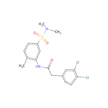 Cc1ccc(S(=O)(=O)N(C)C)cc1NC(=O)Cc1ccc(Cl)c(Cl)c1